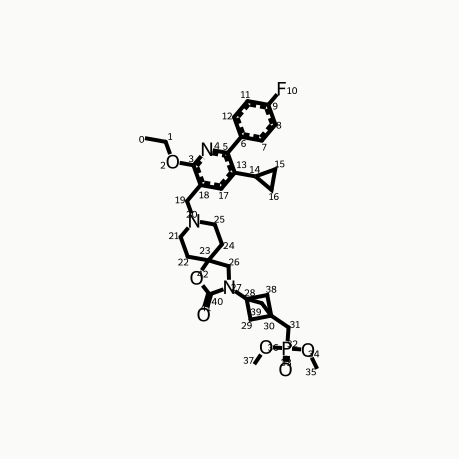 CCOc1nc(-c2ccc(F)cc2)c(C2CC2)cc1CN1CCC2(CC1)CN(C13CC(CP(=O)(OC)OC)(C1)C3)C(=O)O2